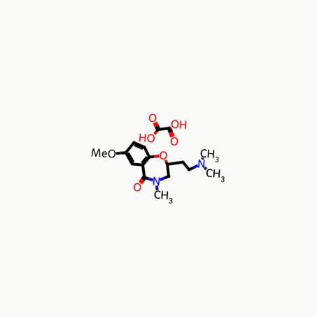 COc1ccc2c(c1)C(=O)N(C)CC(CCN(C)C)O2.O=C(O)C(=O)O